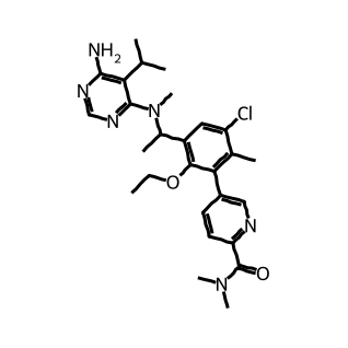 CCOc1c(C(C)N(C)c2ncnc(N)c2C(C)C)cc(Cl)c(C)c1-c1ccc(C(=O)N(C)C)nc1